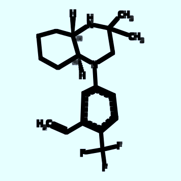 C=Cc1cc(N2CC(C)(C)N[C@H]3CCCC[C@@H]32)ccc1C(F)(F)F